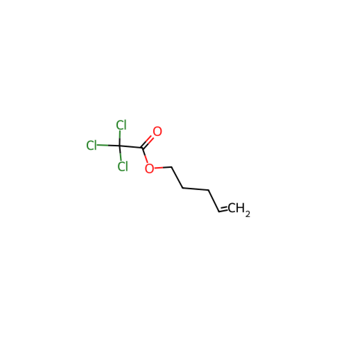 C=CCCCOC(=O)C(Cl)(Cl)Cl